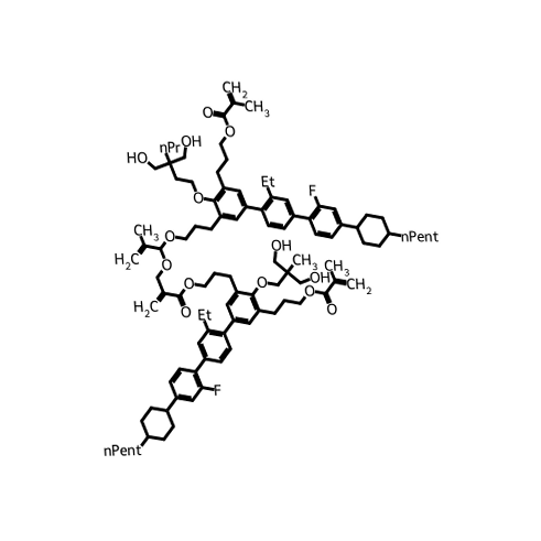 C=C(C)C(=O)OCCCc1cc(-c2ccc(-c3ccc(C4CCC(CCCCC)CC4)cc3F)cc2CC)cc(CCCOC(OCC(=C)C(=O)OCCCc2cc(-c3ccc(-c4ccc(C5CCC(CCCCC)CC5)cc4F)cc3CC)cc(CCCOC(=O)C(=C)C)c2OCC(C)(CO)CO)C(=C)C)c1OCCC(CO)(CO)CCC